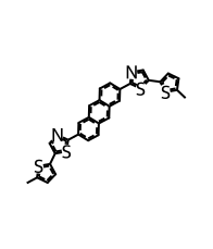 Cc1ccc(-c2cnc(-c3ccc4cc5cc(-c6ncc(-c7ccc(C)s7)s6)ccc5cc4c3)s2)s1